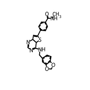 CNC(=O)c1ccc(C2=CC3N=CN=C(NCc4ccc5c(c4)OCO5)C3S2)cc1